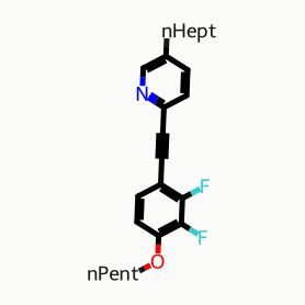 CCCCCCCc1ccc(C#Cc2ccc(OCCCCC)c(F)c2F)nc1